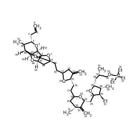 C=CC[C@@H]1O[C@H]2[C@H]3O[C@]4(CCC5CC(=C)[C@H](CCC6C[C@@H](C)C(=C)[C@@H](CC7O[C@H](C[C@H](C)CO[Si](CC)(CC)CC)[C@H](C)[C@H]7CC)O6)O5)C[C@H]3O[C@H]2[C@@H](O4)C1C